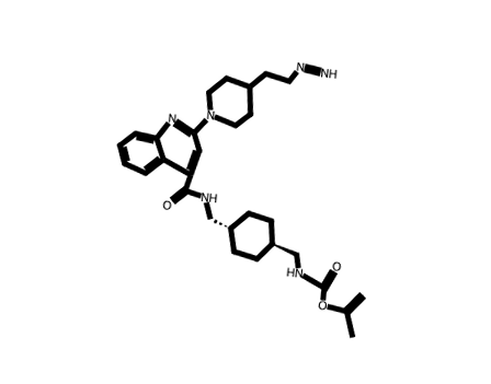 C=C(C)OC(=O)NC[C@H]1CC[C@H](CNC(=O)c2cc(N3CCC(CCN=N)CC3)nc3ccccc23)CC1